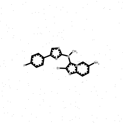 CCc1nc2ccc(N)cn2c1N(C)c1nc(-c2ccc(F)cc2)cs1